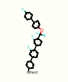 CCCCCc1ccc(-c2ccc(-c3ccc(C(F)(F)Oc4ccc(-c5ccc(F)cc5)cc4)c(F)c3)c(F)c2)cc1